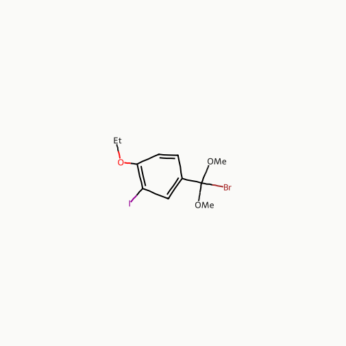 CCOc1ccc(C(Br)(OC)OC)cc1I